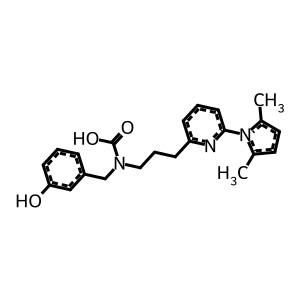 Cc1ccc(C)n1-c1cccc(CCCN(Cc2cccc(O)c2)C(=O)O)n1